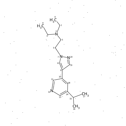 CCN(CC)CCn1cc(-c2cncc(C(C)C)c2)cn1